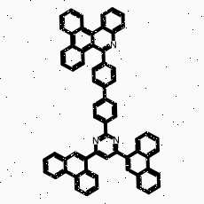 c1ccc2c(c1)cc(-c1cc(-c3cc4ccccc4c4ccccc34)nc(-c3ccc(-c4ccc(-c5nc6ccccc6c6c7ccccc7c7ccccc7c56)cc4)cc3)n1)c1ccccc12